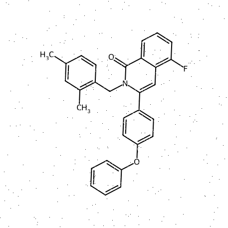 Cc1ccc(Cn2c(-c3ccc(Oc4ccccc4)cc3)cc3c(F)cccc3c2=O)c(C)c1